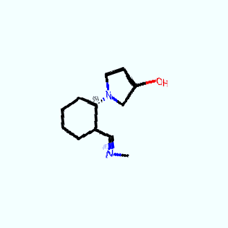 C/N=C/C1CCCC[C@@H]1N1CCC(O)C1